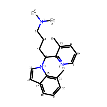 CCN(CC)CCCC(c1ncccc1C)n1ccc2cccc(C)c21